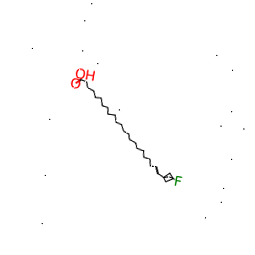 O=C(O)CCCCCCCCCCCCCCCCCCCCC=CC12CC(F)(C1)C2